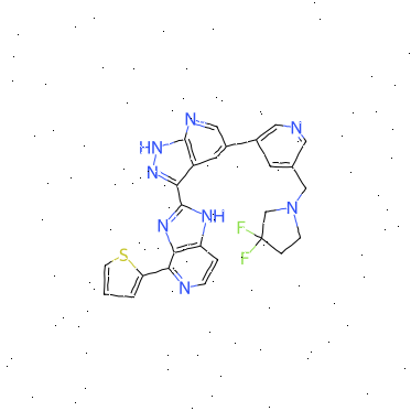 FC1(F)CCN(Cc2cncc(-c3cnc4[nH]nc(-c5nc6c(-c7cccs7)nccc6[nH]5)c4c3)c2)C1